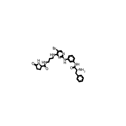 N[C@H](Cc1ccccc1)C(=O)Nc1cccc(Nc2ncc(Br)c(NCCCNC(=O)C3CCC(=O)N3)n2)c1